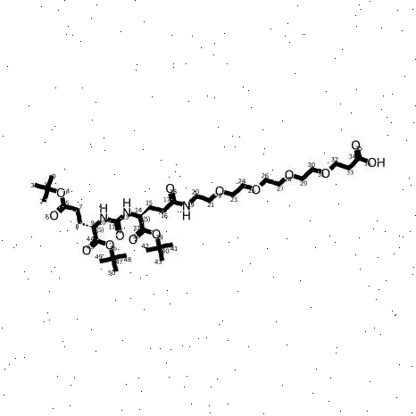 CC(C)(C)OC(=O)CC[C@H](NC(=O)N[C@@H](CCC(=O)NCCOCCOCCOCCOCCC(=O)O)C(=O)OC(C)(C)C)C(=O)OC(C)(C)C